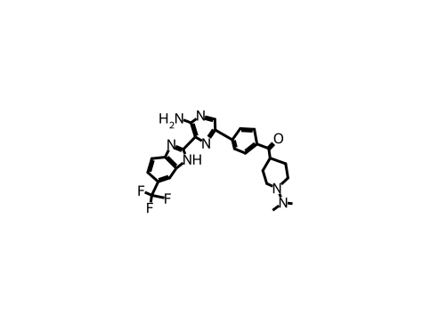 CN(C)N1CCC(C(=O)c2ccc(-c3cnc(N)c(-c4nc5ccc(C(F)(F)F)cc5[nH]4)n3)cc2)CC1